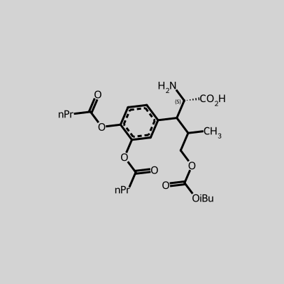 CCCC(=O)Oc1ccc(C(C(C)COC(=O)OCC(C)C)[C@H](N)C(=O)O)cc1OC(=O)CCC